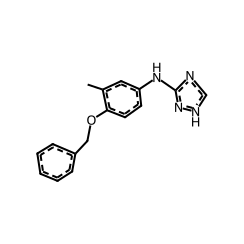 Cc1cc(Nc2nc[nH]n2)ccc1OCc1ccccc1